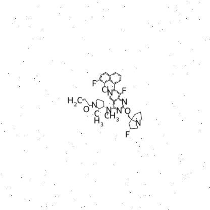 C=CC(=O)N1CC[C@H](N(C)c2nc(OC[C@@]34CCCN3C[C@H](F)C4)nc3c(F)c(-c4cccc5ccc(F)c(Cl)c45)ncc23)[C@@H]1C